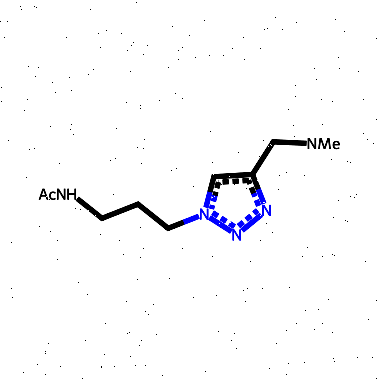 CNCc1cn(CCCNC(C)=O)nn1